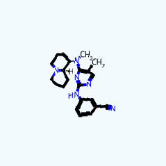 Cc1cnc(Nc2cccc(C#N)c2)nc1N(C)[C@H]1CCCN2CCCC[C@H]12